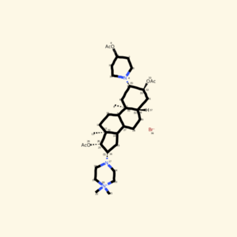 CC(=O)OC1CCN([C@H]2C[C@]3(C)C4CC[C@@]5(C)C(C[C@H](N6CC[N+](C)(C)CC6)[C@@H]5OC(C)=O)C4CC[C@H]3C[C@@H]2OC(C)=O)CC1.[Br-]